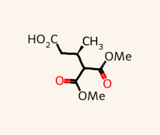 COC(=O)C(C(=O)OC)[C@H](C)CC(=O)O